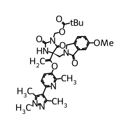 C=C(Oc1ccc(-c2c(C)nn(C)c2C)nc1C)[C@]1(CN2Cc3ccc(OC)cc3C2=O)NC(=O)N(COC(=O)C(C)(C)C)C1=O